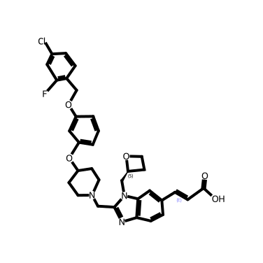 O=C(O)/C=C/c1ccc2nc(CN3CCC(Oc4cccc(OCc5ccc(Cl)cc5F)c4)CC3)n(C[C@@H]3CCO3)c2c1